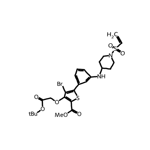 C=CS(=O)(=O)N1CCC(Nc2cccc(-c3sc(C(=O)OC)c(OCC(=O)OC(C)(C)C)c3Br)c2)CC1